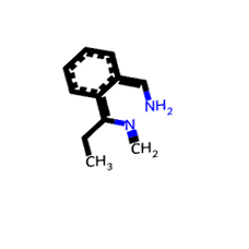 C=N/C(CC)=c1/cccc/c1=C/N